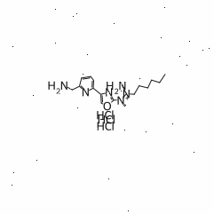 C=[N+](c1nc(-c2cccc(CN)n2)co1)N(N)CCCCCC.Cl.Cl.Cl